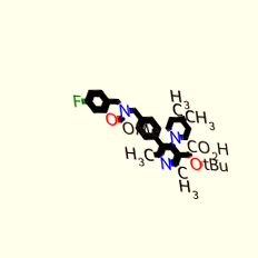 COC(=O)N(Cc1ccc(F)cc1)Cc1ccc(-c2c(C)nc(C)c(C(OC(C)(C)C)C(=O)O)c2N2CCC(C)(C)CC2)cc1